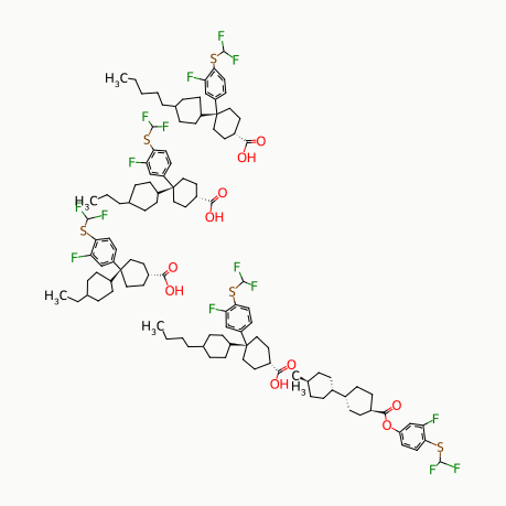 CCC1CCC([C@]2(c3ccc(SC(F)F)c(F)c3)CC[C@@H](C(=O)O)CC2)CC1.CCCC1CCC([C@]2(c3ccc(SC(F)F)c(F)c3)CC[C@@H](C(=O)O)CC2)CC1.CCCCC1CCC([C@]2(c3ccc(SC(F)F)c(F)c3)CC[C@@H](C(=O)O)CC2)CC1.CCCCCC1CCC([C@]2(c3ccc(SC(F)F)c(F)c3)CC[C@@H](C(=O)O)CC2)CC1.C[C@H]1CC[C@H]([C@H]2CC[C@H](C(=O)Oc3ccc(SC(F)F)c(F)c3)CC2)CC1